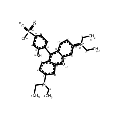 CCN(CC)c1ccc2c(-c3ccc(S(=O)(=O)Cl)cc3S)c3ccc(=[N+](CC)CC)cc-3oc2c1